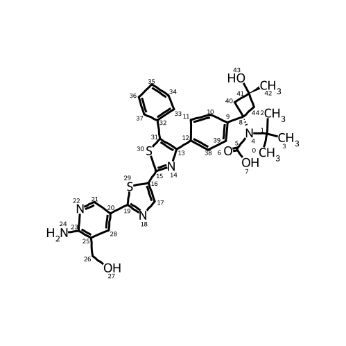 CC(C)(C)N(C(=O)O)[C@]1(c2ccc(-c3nc(-c4cnc(-c5cnc(N)c(CO)c5)s4)sc3-c3ccccc3)cc2)C[C@](C)(O)C1